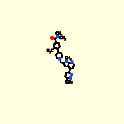 CNc1ccc(-c2ccnc3c2cc(CN2CCC(c4ccc(C(=O)N(C)C)cc4C)CC2)n3C)nn1